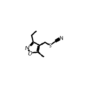 CCc1noc(C)c1CSC#N